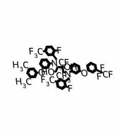 Cc1cc(C)cc(Oc2cccc(N(Cc3cc(C(F)(F)F)ccc3F)C(C(O)C(F)(F)F)[C@](O)(CN(Cc3cc(C(F)(F)F)ccc3F)c3cccc(Oc4cccc(C(F)(F)C(F)(F)F)c4)c3)C(F)(F)F)c2)c1